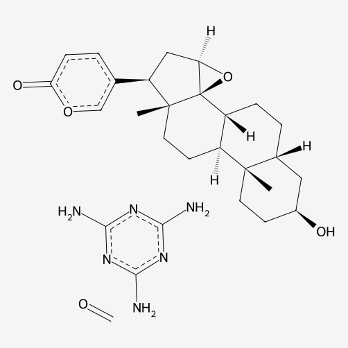 C=O.C[C@]12CC[C@H](O)C[C@H]1CC[C@@H]1[C@@H]2CC[C@]2(C)[C@@H](c3ccc(=O)oc3)C[C@H]3O[C@]132.Nc1nc(N)nc(N)n1